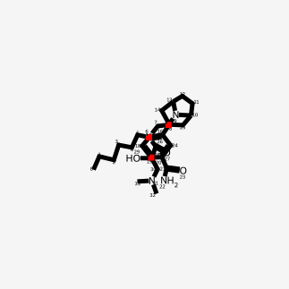 CCCCCCN(CCN1C2CCC1CC(c1cccc(C(N)=O)c1)C2)C(=O)C(O)CN(C)C